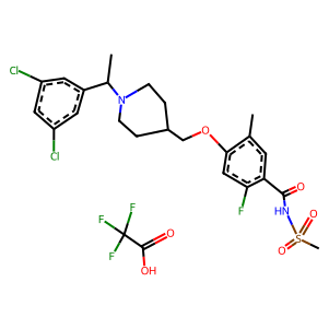 Cc1cc(C(=O)NS(C)(=O)=O)c(F)cc1OCC1CCN(C(C)c2cc(Cl)cc(Cl)c2)CC1.O=C(O)C(F)(F)F